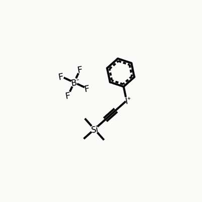 C[Si](C)(C)C#C[I+]c1ccccc1.F[B-](F)(F)F